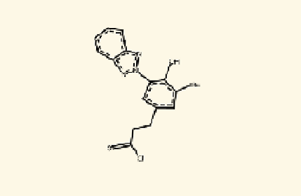 CC(C)(C)c1cc(CCC(=O)Cl)cc(-n2nc3ccccc3n2)c1O